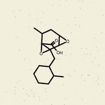 CC1CCCCC1CC12OC1(C(=O)O)C(C)CC1OC12